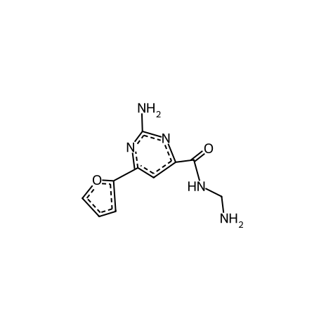 NCNC(=O)c1cc(-c2ccco2)nc(N)n1